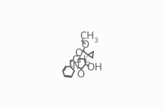 C=C[C@]1(N2C[C@H](C3(C(=O)OCC)CC3)[C@@H](O)C2=O)C=CC=CC1